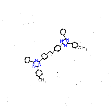 Cc1ccc(-c2nc(-c3ccccc3)nc(-c3ccc(C=Cc4ccc(-c5nc(-c6ccccc6)nc(-c6ccc(C)cc6)n5)cc4)cc3)n2)cc1